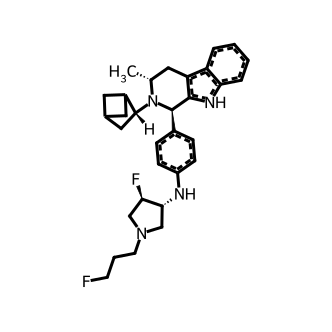 C[C@@H]1Cc2c([nH]c3ccccc23)[C@@H](c2ccc(N[C@@H]3CN(CCCF)C[C@H]3F)cc2)N1[C@@H]1CC2CC1C2